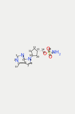 Cc1ncnc2c1ccn2C1CC[C@H](COS(N)(=O)=O)C1